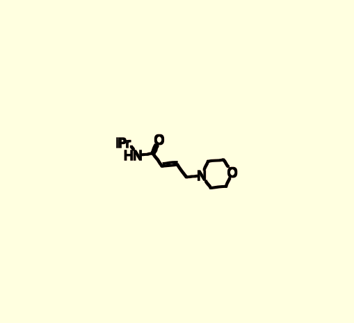 CC(C)NC(=O)/C=C/CN1CCOCC1